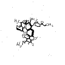 C=CC(=O)N1CCN(c2c(C#N)c(=O)n(-c3c(C)ccnc3C(C)C)c3nc(C4=C(Cl)C(N)C(F)C(Cl)=C4F)c(Cl)cc23)C[C@H]1C